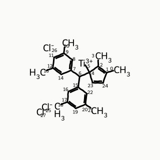 CC1=C(C)[C]([Ti+3])(C(c2cc(C)cc(C)c2)c2cc(C)cc(C)c2)C=C1.[Cl-].[Cl-].[Cl-]